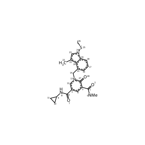 CNC(=O)c1cc(C(=O)NC2CC2)cn(Cc2cccc3c2c(C)cn3SI)c1=O